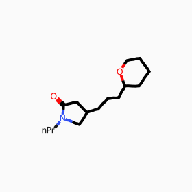 CCCN1CC(CCCC2CCCCO2)CC1=O